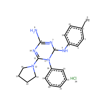 CC(C)c1ccc(NC2N=C(N)N=C(N3CCCC3)N2c2ccccc2)cc1.Cl